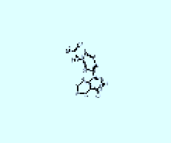 CCC(=O)Nc1cccc(-c2n[nH]c(=O)c3c2CCCC3)c1